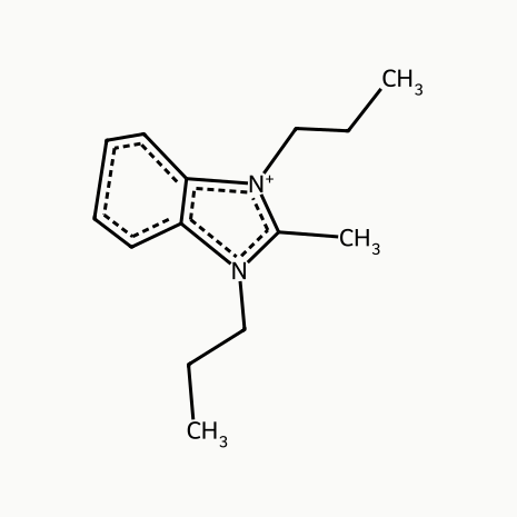 CCCn1c(C)[n+](CCC)c2ccccc21